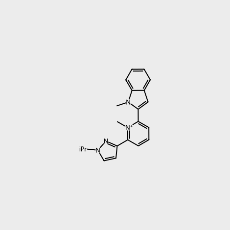 CC(C)n1ccc(-c2cccc(-c3cc4ccccc4n3C)[n+]2C)n1